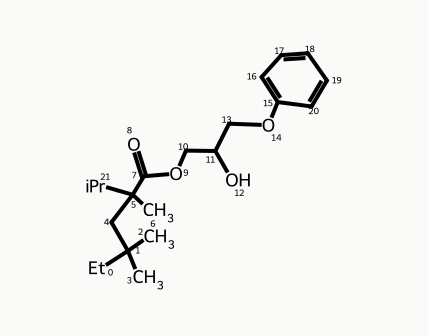 CCC(C)(C)CC(C)(C(=O)OCC(O)COc1ccccc1)C(C)C